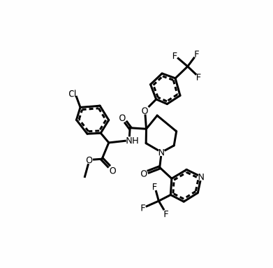 COC(=O)C(NC(=O)C1(Oc2ccc(C(F)(F)F)cc2)CCCN(C(=O)c2cnccc2C(F)(F)F)C1)c1ccc(Cl)cc1